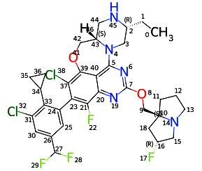 CC[C@@H]1CN2c3nc(OC[C@@]45CCCN4C[C@H](F)C5)nc4c(F)c(-c5cc(C(F)F)cc(Cl)c5C5CC5)c(Cl)c(c34)OC[C@@H]2CN1